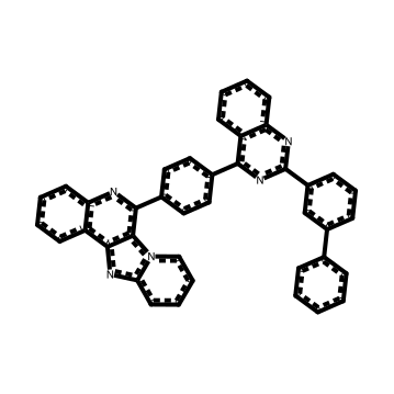 c1ccc(-c2cccc(-c3nc(-c4ccc(-c5nc6ccccc6c6nc7ccccn7c56)cc4)c4ccccc4n3)c2)cc1